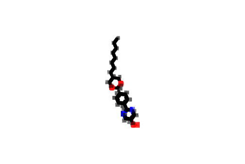 CCCCCCCC[C@H]1CO[C@H](c2ccc(-c3ncc(O)cn3)cc2)OC1